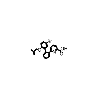 C=C(C)COc1ccc(Br)cc1-c1ccccc1-c1cccc(C(=O)O)n1